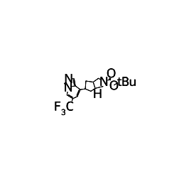 CC(C)(C)OC(=O)N1CC2CC(c3cc(C(F)(F)F)cn4cncc34)C[C@@H]2C1